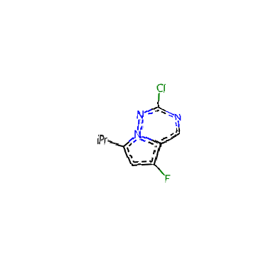 CC(C)c1cc(F)c2cnc(Cl)nn12